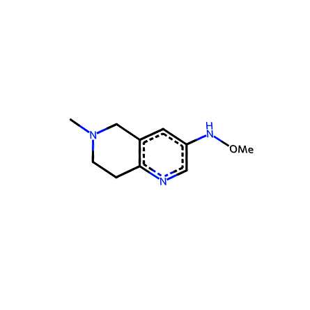 CONc1cnc2c(c1)CN(C)CC2